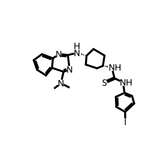 CN(C)c1nc(N[C@H]2CC[C@@H](NC(=S)Nc3ccc(I)cc3)CC2)nc2ccccc12